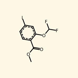 COC(=O)c1ccc(I)cc1OC(F)F